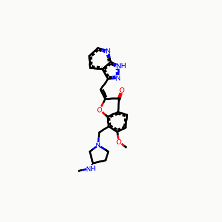 CN[C@H]1CCN(Cc2c(OC)ccc3c2OC(=Cc2n[nH]c4ncccc24)C3=O)C1